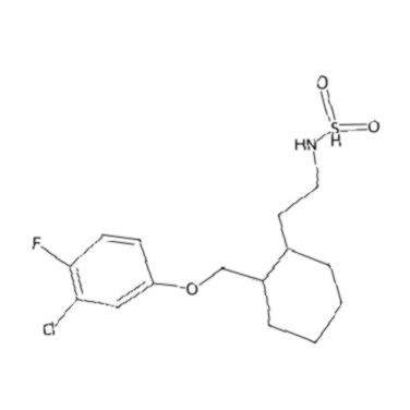 O=[SH](=O)NCCC1CCCCC1COc1ccc(F)c(Cl)c1